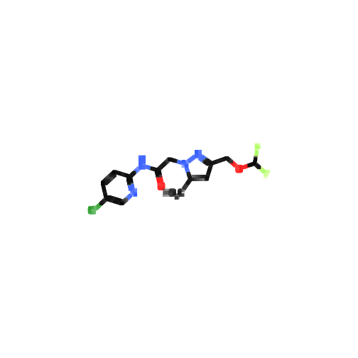 O=C(Cn1nc(COC(F)F)cc1C(=O)O)Nc1ccc(Cl)cn1